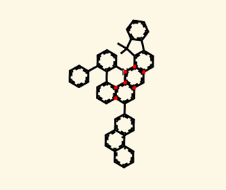 CC1(C)c2ccccc2-c2cccc(N(c3ccc(-c4ccc5c(ccc6ccccc65)c4)cc3)c3cccc(-c4ccccc4)c3-c3ccccc3-c3ccccc3)c21